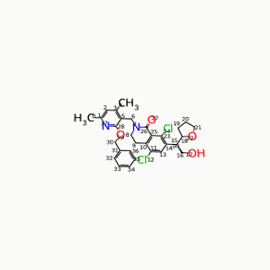 Cc1cc(C)c(CN2CCc3c(Cl)cc([C@H](CO)C4CCCO4)c(Cl)c3C2=O)c(OCc2ccccc2)n1